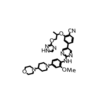 COc1cc(N2CCC(N3CCOCC3)CC2)ccc1Nc1ncc(-c2ccc(C#N)c(OC(C)COc3nc[nH]n3)c2)cn1